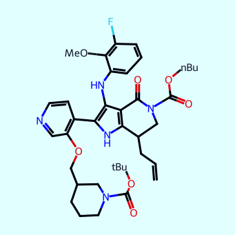 C=CCC1CN(C(=O)OCCCC)C(=O)c2c1[nH]c(-c1ccncc1OCC1CCCN(C(=O)OC(C)(C)C)C1)c2Nc1cccc(F)c1OC